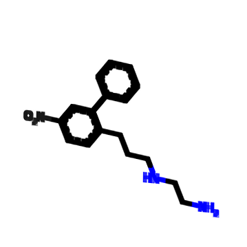 NCCNCCCc1ccc([N+](=O)[O-])cc1-c1ccccc1